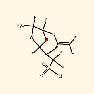 O=S(=O)(Cl)C(F)(F)C(F)(F)C(F)(F)OC(F)(C(F)(F)F)C(F)(F)OC(F)=C(F)F